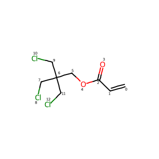 C=CC(=O)OCC(CCl)(CCl)CCl